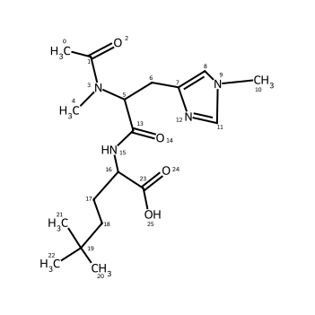 CC(=O)N(C)C(Cc1cn(C)cn1)C(=O)NC(CCC(C)(C)C)C(=O)O